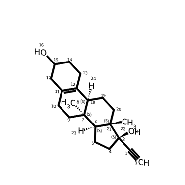 C#C[C@]1(O)CC[C@H]2[C@@]3(C)CCC4=C(CCC(O)C4)[C@H]3CC[C@@]21C